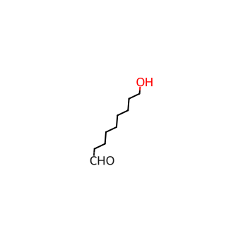 O=CCCCCCCCCO